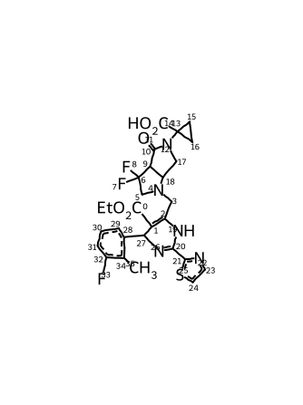 CCOC(=O)C1=C(CN2CC(F)(F)C3C(=O)N(C4(C(=O)O)CC4)CC32)NC(c2nccs2)=NC1c1cccc(F)c1C